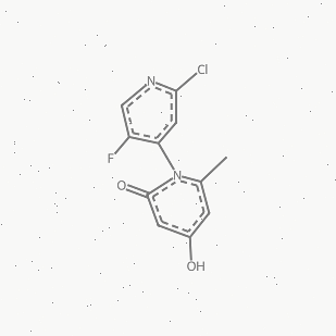 Cc1cc(O)cc(=O)n1-c1cc(Cl)ncc1F